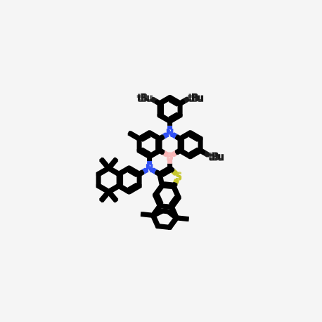 Cc1cc2c3c(c1)N(c1ccc4c(c1)C(C)(C)CCC4(C)C)c1c(sc4cc5c(cc14)C1(C)CCC5(C)CC1)B3c1cc(C(C)(C)C)ccc1N2c1cc(C(C)(C)C)cc(C(C)(C)C)c1